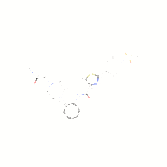 CS(=O)(=O)N1CCC(c2nc(C(=O)Nc3ccccc3N3CCN(CC(N)=O)CC3)cs2)CC1